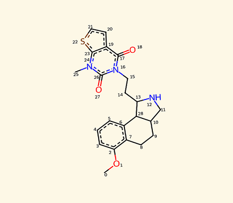 COc1cccc2c1CCC1CNC(CCn3c(=O)c4ccsc4n(C)c3=O)C21